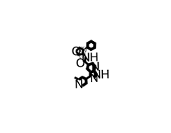 Cc1cc(-c2n[nH]c3ncc(C(=O)N[C@@H]4COC[C@H]4c4ccccc4)cc23)ccn1